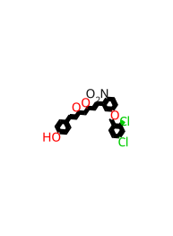 O=C(C=Cc1ccc(O)cc1)CC(=O)C=Cc1cc(OCc2ccc(Cl)cc2Cl)ccc1[N+](=O)[O-]